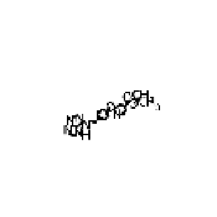 CC(C)OC(=O)c1ccnc(Oc2ccc(CCNc3ncnc4nccnc34)cc2)c1